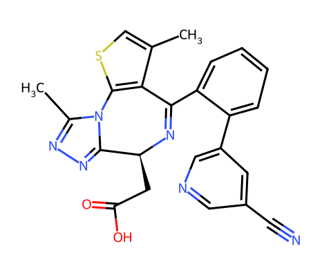 Cc1csc2c1C(c1ccccc1-c1cncc(C#N)c1)=N[C@@H](CC(=O)O)c1nnc(C)n1-2